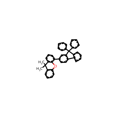 CC1(C)c2ccccc2Oc2c(-c3ccc4c(c3)C(c3ccccc3)(c3ccccc3)c3ccccc3-4)cccc21